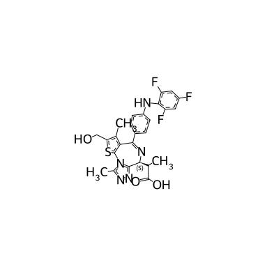 Cc1c(CO)sc2c1C(c1ccc(Nc3c(F)cc(F)cc3F)cc1)=N[C@@H](C(C)C(=O)O)c1nnc(C)n1-2